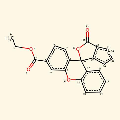 CCOC(=O)c1ccc2c(c1)Oc1ccccc1C21OC(=O)c2ccccc21